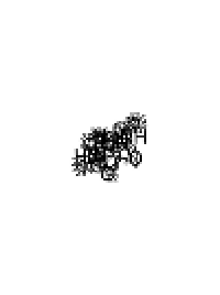 COc1ccc(C2(c3ccc(OC)cc3NNC(=O)c3ccccc3)COc3ccc4ccccc4c3C2)c(NNC(=O)c2ccccc2)c1